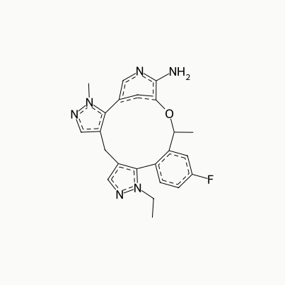 CCn1ncc2c1-c1ccc(F)cc1C(C)Oc1cc(cnc1N)-c1c(cnn1C)C2